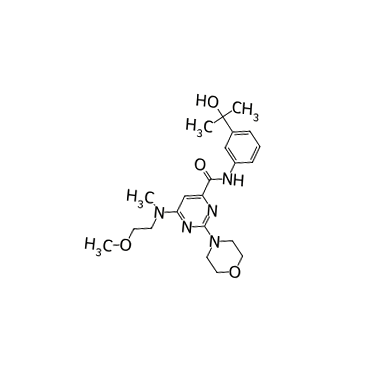 COCCN(C)c1cc(C(=O)Nc2cccc(C(C)(C)O)c2)nc(N2CCOCC2)n1